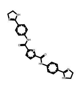 O=C(Nc1ccc(C2=NCCN2)cc1)c1ccc(C(=O)Nc2ccc(C3=NCCN3)cc2)o1